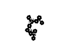 c1ccc(-c2nc(-c3ccc(-c4cccc5c4oc4c5ccc5c(-c6ccccc6)nc6ccccc6c54)cc3)cc(-c3ccc4c(c3)c3ccccc3n4-c3ccccc3)n2)cc1